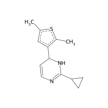 Cc1cc(C2C=CN=C(C3CC3)N2)c(C)s1